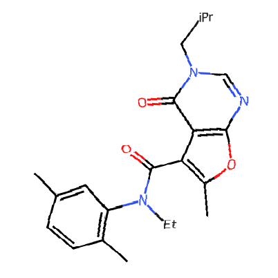 CCN(C(=O)c1c(C)oc2ncn(CC(C)C)c(=O)c12)c1cc(C)ccc1C